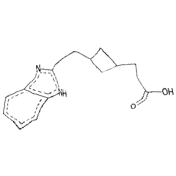 O=C(O)CC1CC(Cc2nc3ccccc3[nH]2)C1